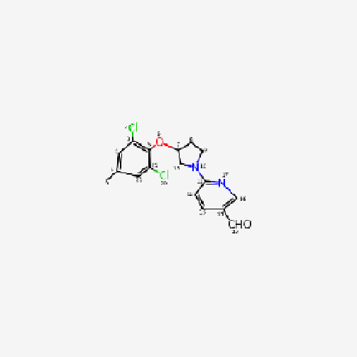 Cc1cc(Cl)c(OC2CCN(c3ccc(C=O)cn3)C2)c(Cl)c1